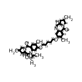 C=C1C[C@H]2C=Nc3cc(OCCCCCOc4cc5c(cc4C)C(=O)N4CC(=C)C[C@H]4C(O)N5C(C)C)c(C)cc3C(=O)N2C1